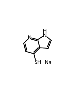 Sc1ccnc2[nH]ccc12.[Na]